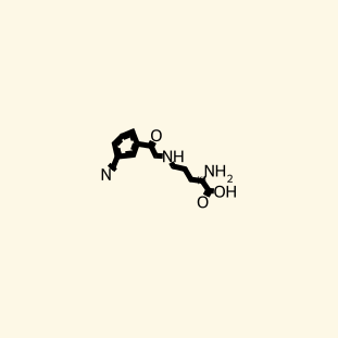 N#Cc1cccc(C(=O)CNCCC[C@H](N)C(=O)O)c1